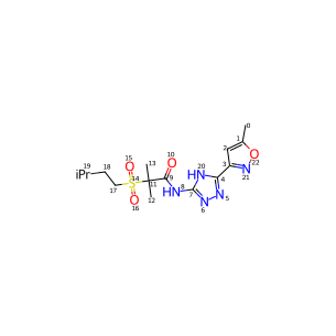 Cc1cc(-c2nnc(NC(=O)C(C)(C)S(=O)(=O)CCC(C)C)[nH]2)no1